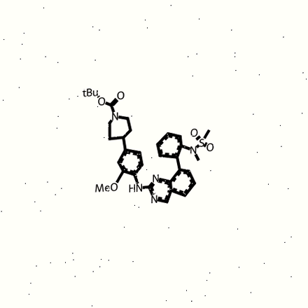 COc1cc(C2CCN(C(=O)OC(C)(C)C)CC2)ccc1Nc1ncc2cccc(-c3ccccc3N(C)S(C)(=O)=O)c2n1